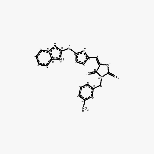 O=C1SC(=Cc2ccc(Sc3nc4ccccc4[nH]3)o2)C(=O)N1Cc1cccc([N+](=O)[O-])c1